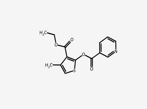 CCOC(=O)c1c(C)csc1OC(=O)c1cccnc1